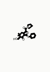 CC1(C)Cc2c(C(=O)N3CCCC3)sc(Sc3ccccc3)c2C(=O)/C1=C/O